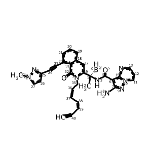 B[C@@](C)(NC(=O)c1c(N)nn2cccnc12)c1cc2cccc(C#Cc3ccn(C)n3)c2c(=O)n1C/C=C\C=C/C#C